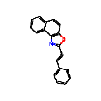 C(=Cc1nc2c(ccc3ccccc32)o1)c1ccccc1